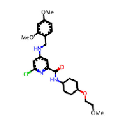 COCCOC1CCC(NC(=O)c2cc(NCc3ccc(OC)cc3OC)cc(Cl)n2)CC1